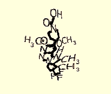 COc1nc2ncnc(N[C@H](C)c3cccc(C(F)(F)F)c3C)c2cc1C1(OC)CCN(C(=O)CO)CC1